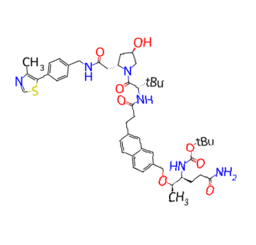 Cc1ncsc1-c1ccc(CNC(=O)C[C@@H]2C[C@@H](O)CN2C(=O)[C@@H](NC(=O)CCc2ccc3ccc(CO[C@H](C)[C@H](CCC(N)=O)NC(=O)OC(C)(C)C)cc3c2)C(C)(C)C)cc1